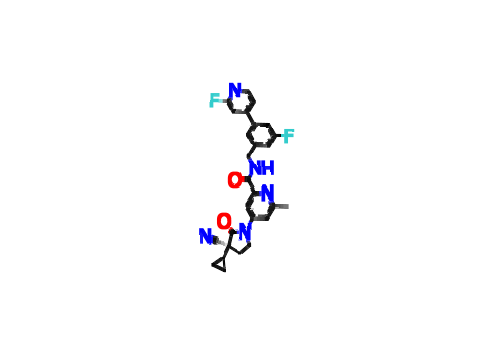 Cc1cc(N2CC[C@@](C#N)(C3CC3)C2=O)cc(C(=O)NCc2cc(F)cc(-c3ccnc(F)c3)c2)n1